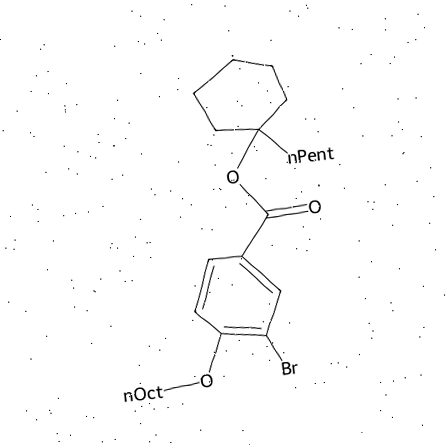 CCCCCCCCOc1ccc(C(=O)OC2(CCCCC)CC[CH]CC2)cc1Br